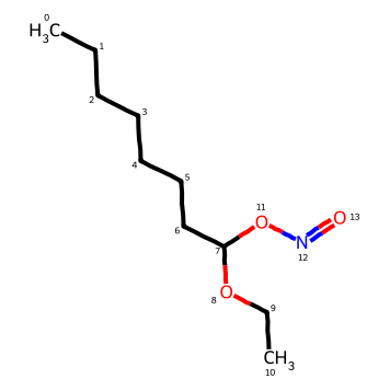 CCCCCCCC(OCC)ON=O